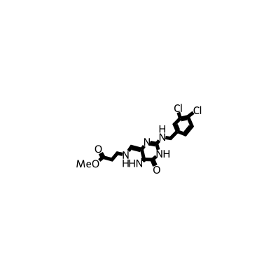 COC(=O)CCN/C=C1/N=C(NCc2ccc(Cl)c(Cl)c2)NC(=O)C1=N